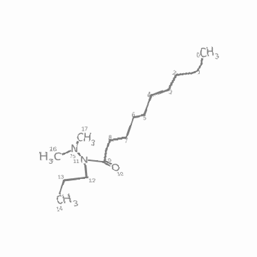 CCCCCCCCCC(=O)N(CCC)N(C)C